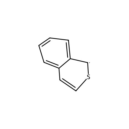 [CH]1SC=Cc2ccccc21